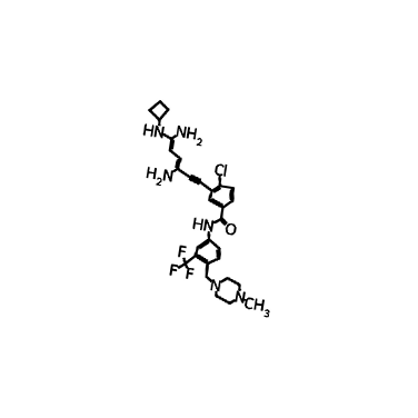 CN1CCN(Cc2ccc(NC(=O)c3ccc(Cl)c(C#C/C(N)=C/C=C(\N)NC4CCC4)c3)cc2C(F)(F)F)CC1